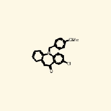 COc1ccc(CN2C3=CC=CCC3=CC(=O)c3cc(Cl)ccc32)cc1